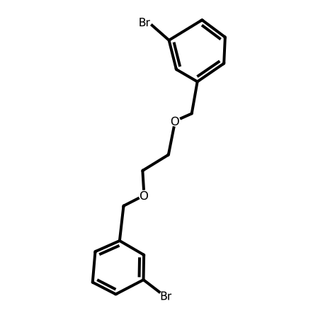 Brc1cccc(COCCOCc2cccc(Br)c2)c1